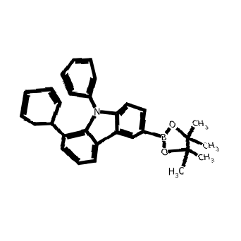 CC1(C)OB(c2ccc3c(c2)c2cccc(C4C=CC=CC4)c2n3-c2ccccc2)OC1(C)C